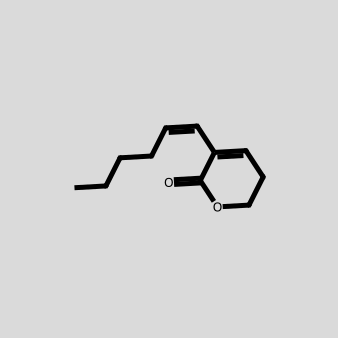 CCCC/C=C\C1=CCCOC1=O